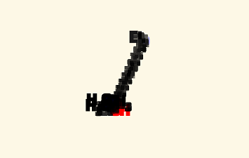 CC/C=C\CCCCCCCCCCCCCCCCCCOP(=O)(O)C(CC)[N+](C)(C)C